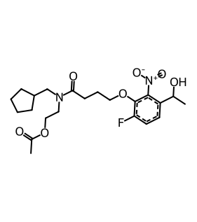 CC(=O)OCCN(CC1CCCC1)C(=O)CCCOc1c(F)ccc(C(C)O)c1[N+](=O)[O-]